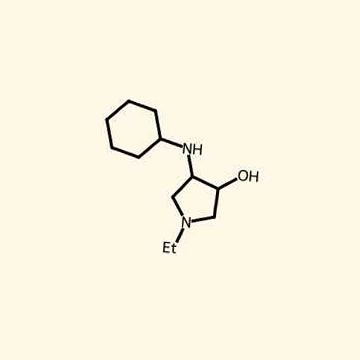 CCN1CC(O)C(NC2CCCCC2)C1